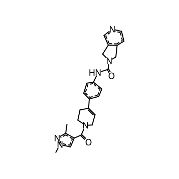 Cc1nn(C)cc1C(=O)N1CC=C(c2ccc(NC(=O)N3Cc4ccncc4C3)cc2)CC1